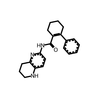 O=C(Nc1ccc2c(n1)CCCN2)C1=C(c2ccccc2)CCCC1